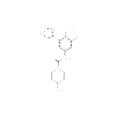 CCOC(=O)c1c(F)cc(NC(=O)N2CCC(C(C)(C)C)CC2)cc1-c1nn[nH]n1